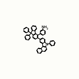 Nc1cccc(-c2c(-c3ccc4c(c3)c3c5ccccc5ccc3n4-c3ccccc3)ccc3c2-c2ccccc2C3(c2ccccc2)c2ccccc2)c1